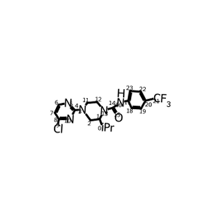 CC(C)C1CN(c2nccc(Cl)n2)CCN1C(=O)Nc1ccc(C(F)(F)F)cc1